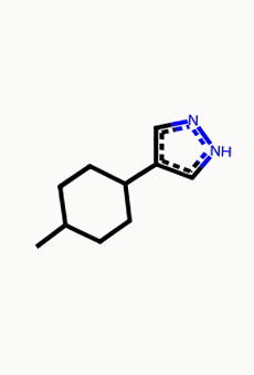 CC1CCC(c2cn[nH]c2)CC1